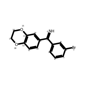 N=C(c1cccc(Br)c1)c1ccc2c(c1)OCCO2